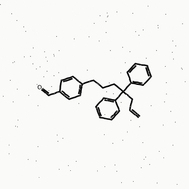 C=CCC(CCCc1ccc(C=O)cc1)(c1ccccc1)c1ccccc1